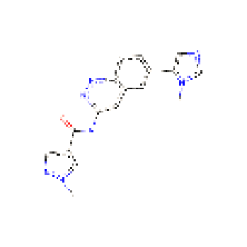 Cn1cc(C(=O)Nc2cc3cc(-c4cncn4C)ccc3nn2)cn1